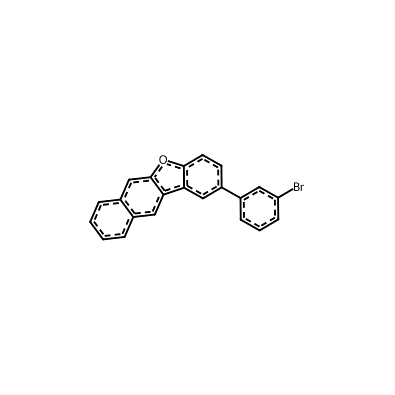 Brc1cccc(-c2ccc3oc4cc5ccccc5cc4c3c2)c1